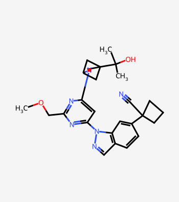 COCc1nc(N2CC3(C(C)(C)O)CC2C3)cc(-n2ncc3ccc(C4(C#N)CCC4)cc32)n1